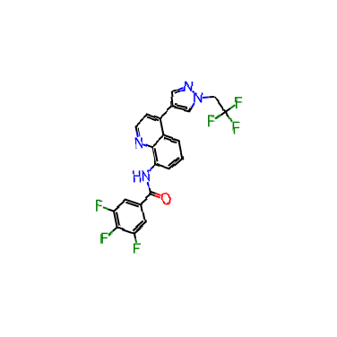 O=C(Nc1cccc2c(-c3cnn(CC(F)(F)F)c3)ccnc12)c1cc(F)c(F)c(F)c1